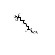 CCOC(=O)CCCCCCCC(Cl)(Cl)Cl